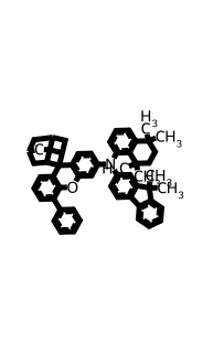 CC1(C)CCC(C)(C)c2c(N(c3ccc4c(c3)Oc3c(-c5ccccc5)cccc3C43C4CC5CC6CC3C64C5)c3ccc4c(c3)C(C)(C)c3ccccc3-4)cccc21